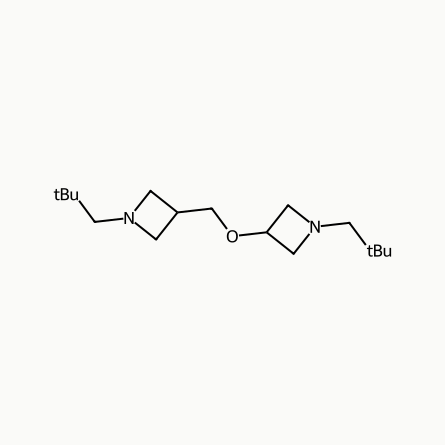 CC(C)(C)CN1CC(COC2CN(CC(C)(C)C)C2)C1